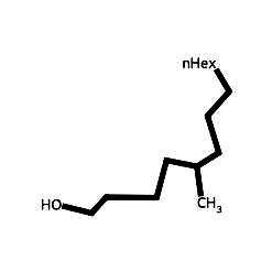 CCCCCCCCCC(C)CCCCO